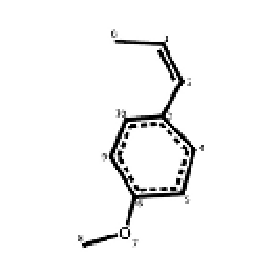 C/C=C\c1ccc(OC)cc1